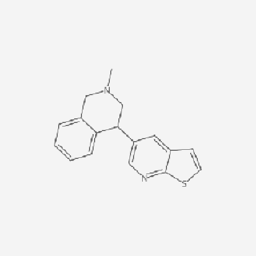 CN1Cc2ccccc2C(c2cnc3sccc3c2)C1